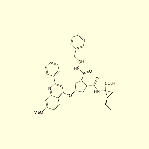 C=C[C@@H]1CC1(NC(=O)[C@@H]1C[C@@H](Oc2cc(-c3ccccc3)nc3cc(OC)ccc23)CN1C(=O)NNCc1ccccc1)C(=O)O